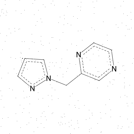 [c]1cnn(Cc2cnccn2)c1